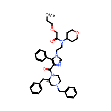 COCCOCC(=O)N(CCn1cnc(C(=O)N2CCN(Cc3ccccc3)C[C@H]2Cc2ccccc2)c1-c1ccccc1)C1CCOCC1